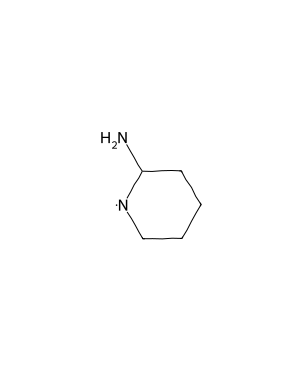 NC1CCCC[N]1